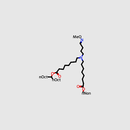 CCCCCCCCCOC(=O)CCCCCCCN(CCC/C=N/OC)CCCCCCCC(=O)OC(CCCCCCCC)CCCCCCCC